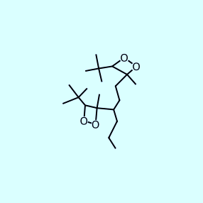 CCCC(CCC1(C)OOC1C(C)(C)C)C1(C)OOC1C(C)(C)C